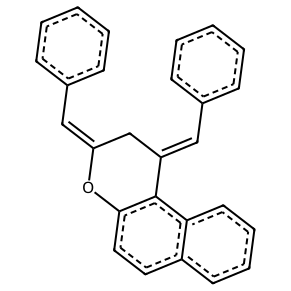 C(=C1CC(=Cc2ccccc2)c2c(ccc3ccccc23)O1)c1ccccc1